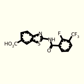 O=C(O)c1ccc2nc(NC(=O)c3cccc(C(F)(F)F)c3F)sc2c1